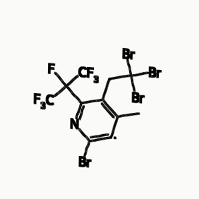 Cc1[c]c(Br)nc(C(F)(C(F)(F)F)C(F)(F)F)c1CC(Br)(Br)Br